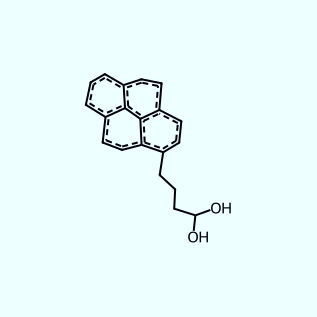 OC(O)CCCc1ccc2ccc3cccc4ccc1c2c34